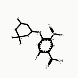 CC1CC(Nc2cc(F)c(C(=O)O)cc2[N+](=O)[O-])CC(C)(C)C1